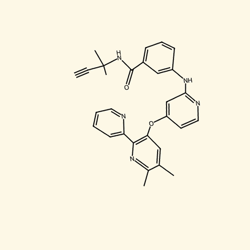 C#CC(C)(C)NC(=O)c1cccc(Nc2cc(Oc3cc(C)c(C)nc3-c3ccccn3)ccn2)c1